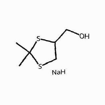 CC1(C)SCC(CO)S1.[NaH]